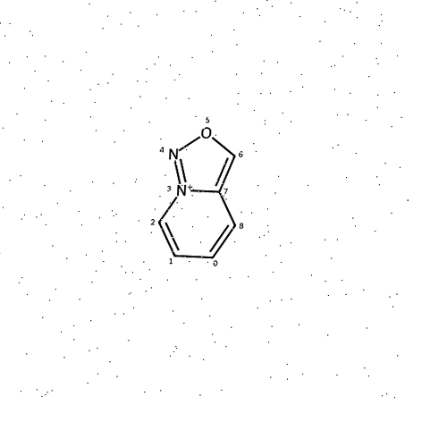 c1cc[n+]2nocc2c1